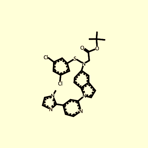 Cn1ccnc1-c1ccnc(-n2ccc3cc(N(CC(=O)OC(C)(C)C)Sc4cc(Cl)cc(Cl)c4)ccc32)c1